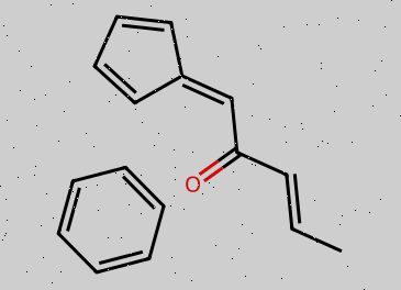 C/C=C/C(=O)C=C1C=CC=C1.c1ccccc1